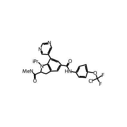 CNC(=O)C1Cc2cc(C(=O)Nc3ccc(OC(F)(F)Cl)cc3)cc(-c3cncnc3)c2N1C(C)C